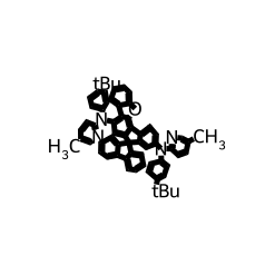 Cc1ccc(N(c2ccc(C(C)(C)C)cc2)c2ccc3c(c2)C2(c4ccccc4-c4ccccc42)c2cc(N(c4ccc(C(C)(C)C)cc4)c4ccc(C)cn4)c4c(oc5ccccc54)c2-3)nc1